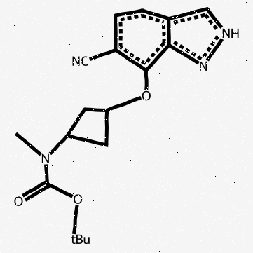 CN(C(=O)OC(C)(C)C)C1CC(Oc2c(C#N)ccc3c[nH]nc23)C1